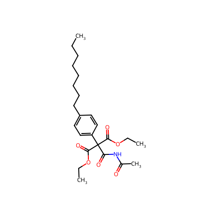 CCCCCCCCc1ccc(C(C(=O)NC(C)=O)(C(=O)OCC)C(=O)OCC)cc1